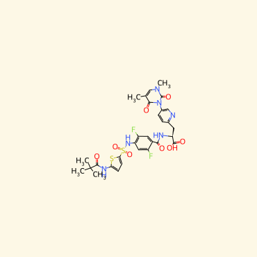 Cc1cn(C)c(=O)n(-c2ccc(C[C@H](NC(=O)c3cc(F)c(NS(=O)(=O)c4ccc(NC(=O)C(C)(C)C)s4)cc3F)C(=O)O)nc2)c1=O